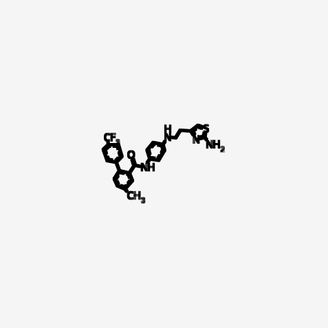 Cc1ccc(-c2ccc(C(F)(F)F)cc2)c(C(=O)Nc2ccc(NCCc3csc(N)n3)cc2)c1